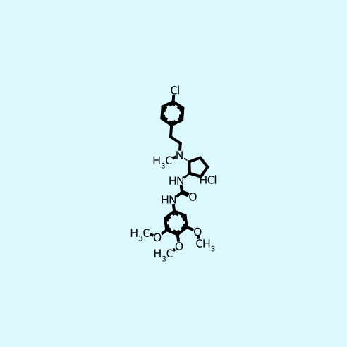 COc1cc(NC(=O)N[C@@H]2CCC[C@H]2N(C)CCc2ccc(Cl)cc2)cc(OC)c1OC.Cl